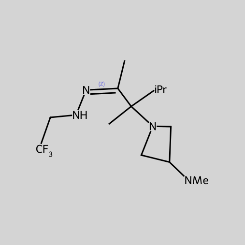 CNC1CN(C(C)(/C(C)=N\NCC(F)(F)F)C(C)C)C1